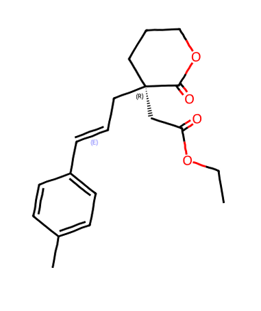 CCOC(=O)C[C@]1(C/C=C/c2ccc(C)cc2)CCCOC1=O